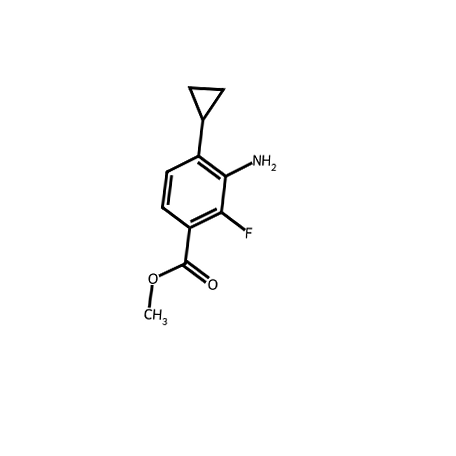 COC(=O)c1ccc(C2CC2)c(N)c1F